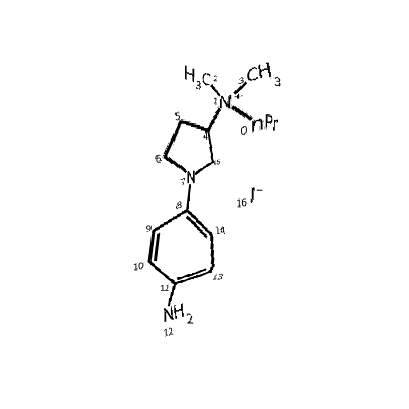 CCC[N+](C)(C)C1CCN(c2ccc(N)cc2)C1.[I-]